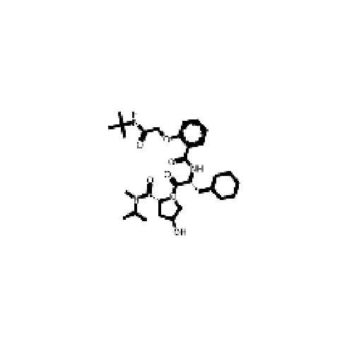 CC(C)N(C)C(=O)[C@H]1C[C@H](O)CN1C(=O)[C@@H](CC1CCCCC1)NC(=O)c1ccccc1OCC(=O)NC(C)(C)C